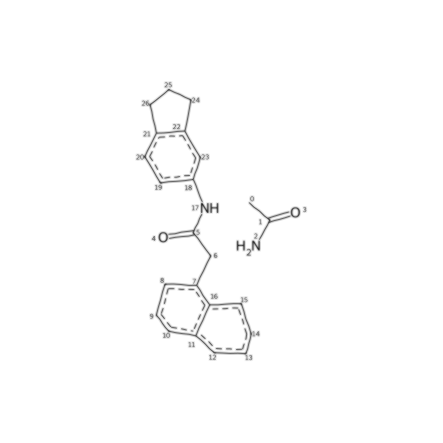 CC(N)=O.O=C(Cc1cccc2ccccc12)Nc1ccc2c(c1)CCC2